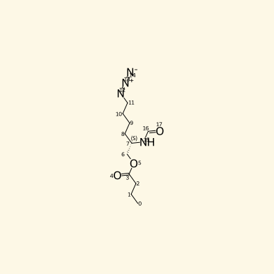 CCCC(=O)OC[C@H](CCCCN=[N+]=[N-])NC=O